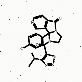 CC(C)c1nnsc1C(=O)N1CCN2C(=O)c3ccncc3C21c1ccc(Cl)cc1